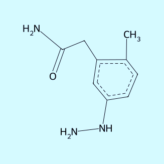 Cc1ccc(NN)cc1CC(N)=O